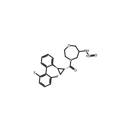 O=[SH]NC1COCCN(C(=O)[C@@H]2C[C@H]2c2ccccc2-c2c(F)cccc2F)C1